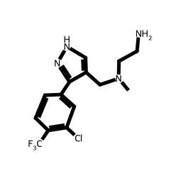 CN(CCN)Cc1c[nH]nc1-c1ccc(C(F)(F)F)c(Cl)c1